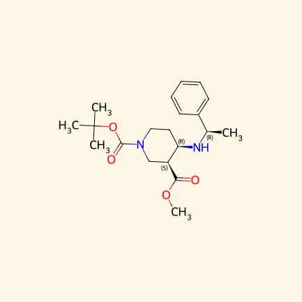 COC(=O)[C@H]1CN(C(=O)OC(C)(C)C)CC[C@H]1N[C@H](C)c1ccccc1